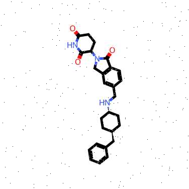 O=C1CCC(N2Cc3cc(CN[C@H]4CC[C@H](Cc5ccccc5)CC4)ccc3C2=O)C(=O)N1